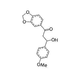 COc1ccc(C(O)CC(=O)c2ccc3c(c2)OCO3)cc1